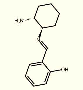 N[C@@H]1CCCC[C@H]1N=Cc1ccccc1O